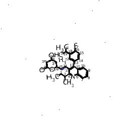 CCC(C)c1nc2ccccc2c(-c2ccc(F)c(C(C)C)c2)c1/C=C/C1CC(O)CC(=O)O1